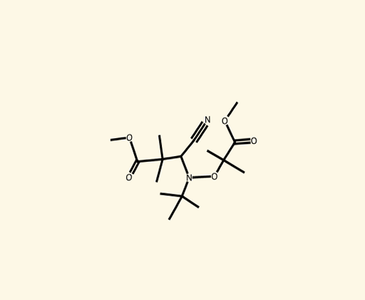 COC(=O)C(C)(C)ON(C(C#N)C(C)(C)C(=O)OC)C(C)(C)C